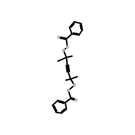 CC(C)(C#CC(C)(C)OOC(=O)c1ccccc1)OOC(=O)c1ccccc1